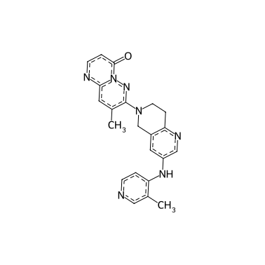 Cc1cnccc1Nc1cnc2c(c1)CN(c1nn3c(=O)ccnc3cc1C)CC2